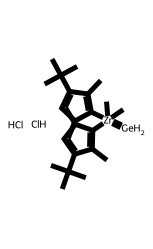 CC1=[C]([Zr]([CH3])([CH3])(=[GeH2])[C]2=C(C)C(C(C)(C)C)=CC2C)C(C)C=C1C(C)(C)C.Cl.Cl